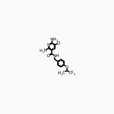 CC(Oc1ccc(CNC(=O)c2cc(Cl)c(N)nc2N)cc1)C(F)(F)F